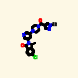 CCn1cc(C(=O)N2CCN(c3cncc(N4C(=O)c5ccc(Cl)cc5[C@@H]4C)c3)CC2)cn1